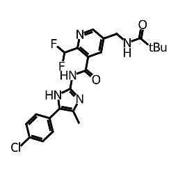 Cc1nc(NC(=O)c2cc(CNC(=O)C(C)(C)C)cnc2C(F)F)[nH]c1-c1ccc(Cl)cc1